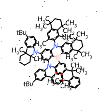 Cc1cc2c(c(C)c1N1c3cc4c(cc3B3c5cc6c(cc5N(c5ccc(C(C)(C)C)cc5-c5ccccc5)c5cc(N7c8ccc(C(C)(C)C)cc8C8(C)CCCCC78C)cc1c53)C(C)(C)c1ccccc1C6(C)C)C(C)(C)CCC4(C)C)C(C)(C)CCC2(C)C